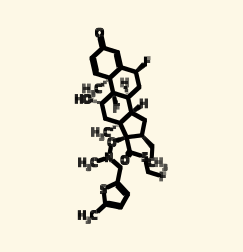 CC[C@@H]1C[C@H]2[C@@H]3C[C@H](F)C4=CC(=O)C=C[C@]4(C)[C@@]3(F)[C@@H](O)C[C@]2(C)[C@@]1(ON(C)Cc1ccc(C)s1)C(=O)SCF